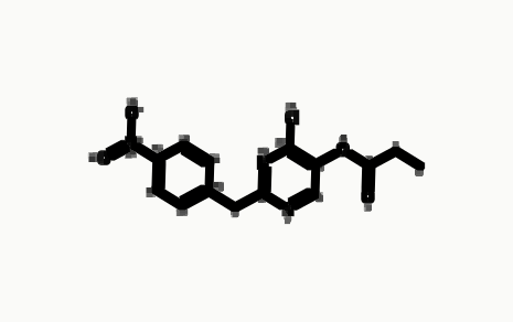 CCC(=O)Oc1cnc(Cc2ccc([N+](=O)[O-])cc2)nc1Cl